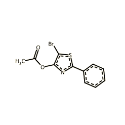 CC(=O)Oc1nc(-c2ccccc2)sc1Br